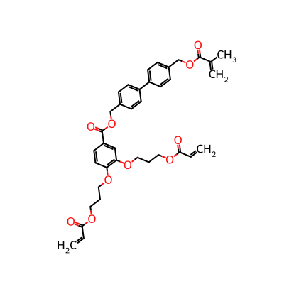 C=CC(=O)OCCCOc1ccc(C(=O)OCc2ccc(-c3ccc(COC(=O)C(=C)C)cc3)cc2)cc1OCCCOC(=O)C=C